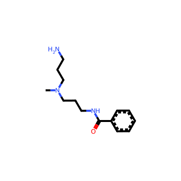 CN(CCCN)CCCNC(=O)c1ccccc1